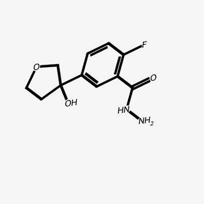 NNC(=O)c1cc(C2(O)CCOC2)ccc1F